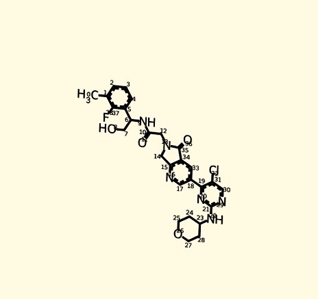 Cc1cccc(C(CO)NC(=O)CN2Cc3ncc(-c4nc(NC5CCOCC5)ncc4Cl)cc3C2=O)c1F